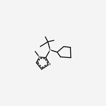 Cn1ccnc1P(C1CCCC1)C(C)(C)C